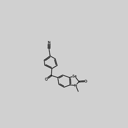 Cn1c(=O)[se]c2cc(C(=O)c3ccc(C#N)cc3)ccc21